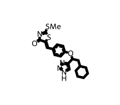 CSC1=NC(=O)C(=Cc2ccc(OC(CC3CCCCC3)c3c[nH]nn3)cc2)S1